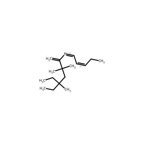 C=C(/N=C\C=C/CC)C(C)(C)CC(C)(CC)CC